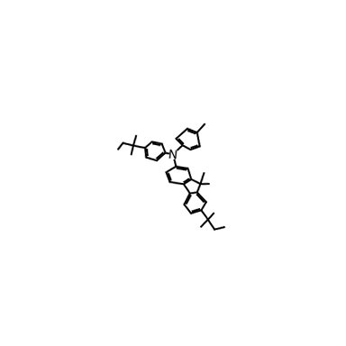 CCC(C)(C)c1ccc(N(c2ccc(C)cc2)c2ccc3c(c2)C(C)(C)c2cc(C(C)(C)CC)ccc2-3)cc1